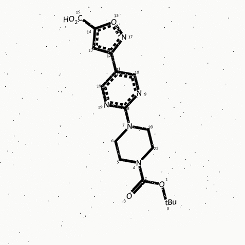 CC(C)(C)OC(=O)N1CCN(c2ncc(-c3cc(C(=O)O)on3)cn2)CC1